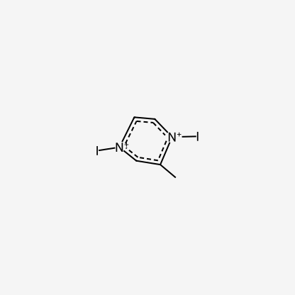 Cc1c[n+](I)cc[n+]1I